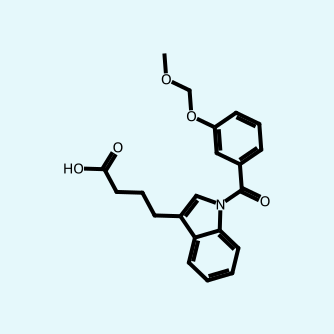 COCOc1cccc(C(=O)n2cc(CCCC(=O)O)c3ccccc32)c1